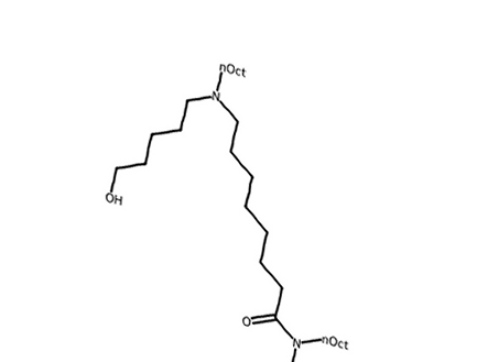 CCCCCCCCN(CCCCCO)CCCCCCCC(=O)N(CCCCCC)CCCCCCCC